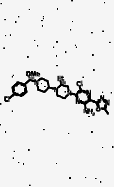 CC[C@H]1CN(c2nc(N)c(-c3nnc(C)o3)nc2Cl)CCN1C1CCN([C@@H](OC)c2ccc(Cl)cc2)CC1